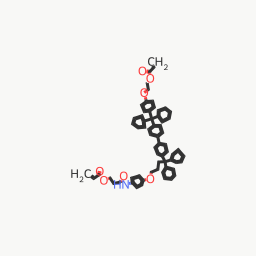 C=CC(=O)OCCOc1ccc(C(c2ccccc2)(c2ccccc2)c2ccc(-c3ccc(C(CCCOc4ccc(NC(=O)CCOC(=O)C=C)cc4)(c4ccccc4)c4ccccc4)cc3)cc2)cc1